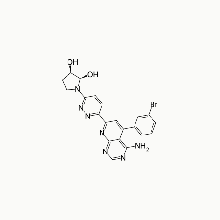 Nc1ncnc2nc(-c3ccc(N4CC[C@@H](O)[C@H]4O)nn3)cc(-c3cccc(Br)c3)c12